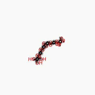 COc1cc(OC)c(C(=O)Oc2ccc(C(=O)Oc3ccc4c(=O)c5ccc(OC(=O)c6ccc(OC(=O)c7cc(CO)c(CO)cc7CO)cc6)cc5oc4c3)cc2)cc1OC